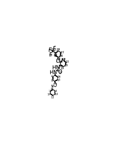 O=C(Nc1ccc(OCc2ccccc2)cc1)Nc1cccnc1Oc1cccc(C(F)(F)F)c1